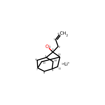 C=CCC1([O-])C2CC3CC(C2)CC1C3.[Li+]